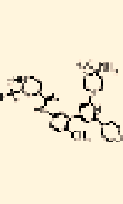 Cc1ccc(NC(=O)C2CCNC(C(F)(F)F)C2)cc1-c1cc(C2CCOCC2)nc(N2CCC(C)(N)CC2)c1